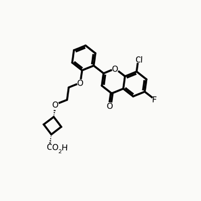 O=c1cc(-c2ccccc2OCCO[C@H]2C[C@@H](C(=O)O)C2)oc2c(Cl)cc(F)cc12